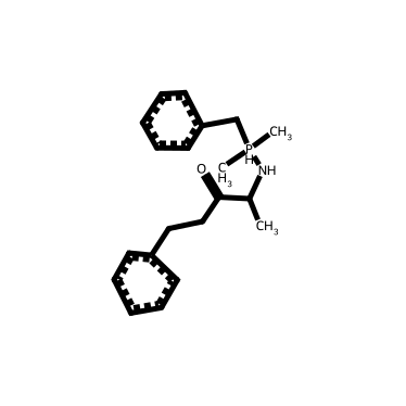 CC(N[PH](C)(C)Cc1ccccc1)C(=O)CCc1ccccc1